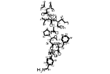 CC[C@H](C)[C@@H]([C@@H](CC(=O)N1CCC[C@H]1C(OC)[C@@H](C)C(=O)N[C@@H](Cc1ccccc1)C(=O)NS(=O)(=O)c1ccc(CN)cc1)OC)N(C)C(=O)[C@@H](NC(=O)[C@H](C(C)C)N(C)C)C(C)C